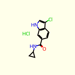 Cl.O=C(NC1CC1)c1ccc2c(Cl)c[nH]c2c1